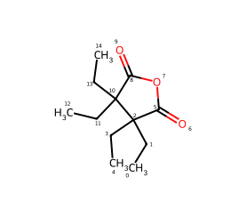 CCC1(CC)C(=O)OC(=O)C1(CC)CC